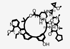 CCn1c(-c2cccnc2[C@H](C)OC)c2c3cc(ccc31)-c1cc(O)cc(c1)C[C@H](NC(=O)C(C1CCCC1)N(C)C(=O)CN(C)C(=O)[C@@H]1N[C@@H]1C1(OC)CC1)C(=O)N1CCC[C@H](N1)C(=O)OCC(C)(C)C2